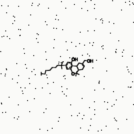 CC(C)(CCCCCCI)c1cc(O)c2c(c1)OC(C)(C)C1CC=C(CO)CC21